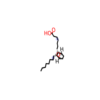 CCCCCC/C=C/[C@@H]1[C@H](CCC/C=C\CC(=O)O)[C@@H]2CC[C@H]1O2